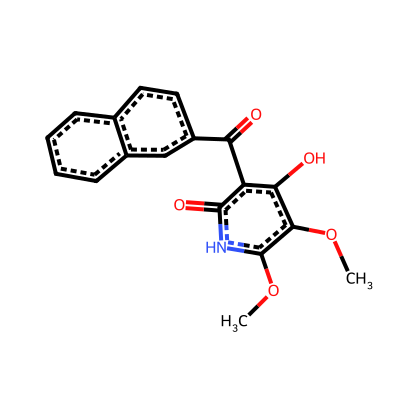 COc1[nH]c(=O)c(C(=O)c2ccc3ccccc3c2)c(O)c1OC